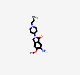 COCCN1CCC(N2Cc3cc(OC(C)C)c(N)cc3C2=O)CC1